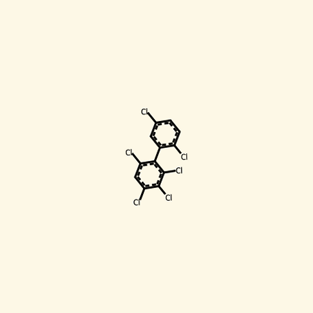 Clc1ccc(Cl)c(-c2c(Cl)cc(Cl)c(Cl)c2Cl)c1